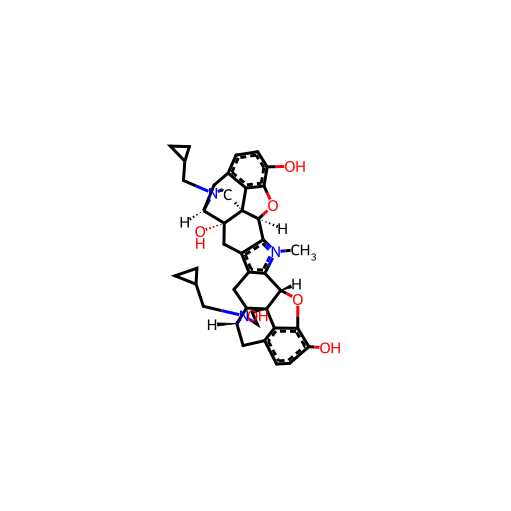 Cn1c2c(c3c1[C@@H]1Oc4c(O)ccc5c4[C@@]14CCN(CC1CC1)[C@H](C5)[C@]4(O)C3)C[C@@]1(O)[C@H]3Cc4ccc(O)c5c4[C@@]1(CCN3CC1CC1)[C@H]2O5